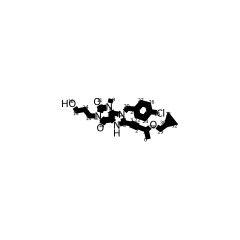 CC(C#CC1Nc2c(n(C)c(=O)n(CCCO)c2=O)N1Cc1ccc(Cl)cc1)OCC1CC1